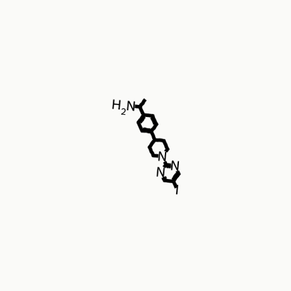 CC(N)c1ccc(C2CCN(c3ncc(I)cn3)CC2)cc1